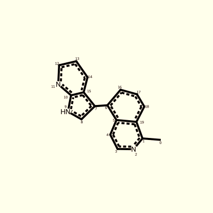 Cc1nccc2c(-c3c[nH]c4ncccc34)cccc12